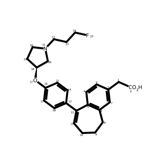 O=C(O)Cc1ccc2c(c1)CCCC=C2c1ccc(O[C@H]2CCN(CCCF)C2)cc1